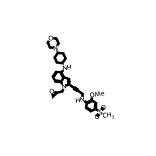 COc1cc(S(C)(=O)=O)ccc1NCC#Cc1cc2c(N[C@H]3CC[C@H](N4CCOCC4)CC3)cccc2n1CC1CO1